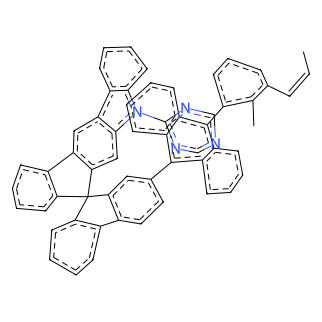 C/C=C\c1cccc(-c2c3ccccc3c(-c3ccc4c(c3)C3(c5ccccc5-4)c4ccccc4-c4cc5c6ccccc6n(-c6ncncn6)c5cc43)c3ccccc23)c1C